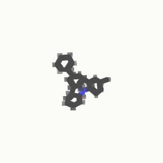 Cc1ccc2c(c1)c1cc(-c3ccccc3)cc3c4ccccc4n2c31